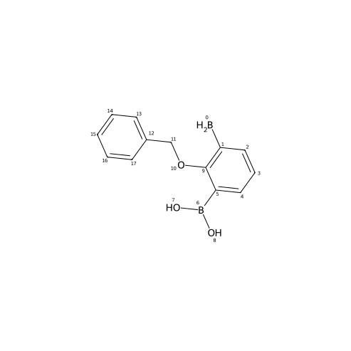 Bc1cccc(B(O)O)c1OCc1ccccc1